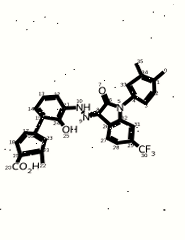 Cc1ccc(N2C(=O)C(=NNc3cccc(-c4ccc(C(=O)O)c(C)c4)c3O)c3ccc(C(F)(F)F)cc32)cc1C